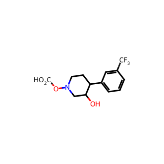 O=C(O)ON1CCC(c2cccc(C(F)(F)F)c2)C(O)C1